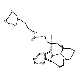 CC12CCCN3CCc4c(n(c5ccccc45)C(C)(OCC(=O)NCCC4CCOCC4)C1)C32